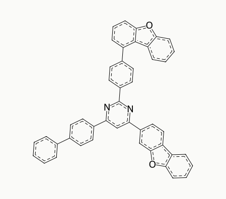 c1ccc(-c2ccc(-c3cc(-c4ccc5c(c4)oc4ccccc45)nc(-c4ccc(-c5cccc6oc7ccccc7c56)cc4)n3)cc2)cc1